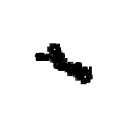 CC(C)(C)CCN1C(=O)C(CC(=O)N2CCC(N3CCc4ccccc4NC3=O)CC2)SC1c1ccccc1